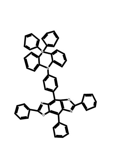 c1ccc(-c2nc3c(-c4ccc(N5c6ccccc6[Si](c6ccccc6)(c6ccccc6)c6ccccc65)cc4)c4oc(-c5ccccc5)nc4c(-c4ccccc4)c3o2)cc1